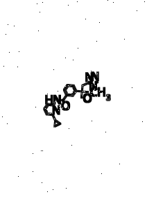 Cn1cnnc1CC1(c2cccc(C(=O)Nc3cccc(C4CC4)n3)c2)COC1